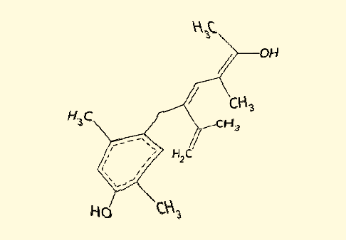 C=C(C)/C(=C\C(C)=C(/C)O)Cc1cc(C)c(O)cc1C